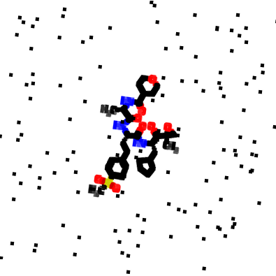 C[C@@H](NC(=O)C1CCOCC1)C(=O)N[C@@H](CCc1ccc(S(C)(=O)=O)cc1)C(=O)N[C@@H](CC1CCCC1)C(=O)[C@@]1(C)CO1